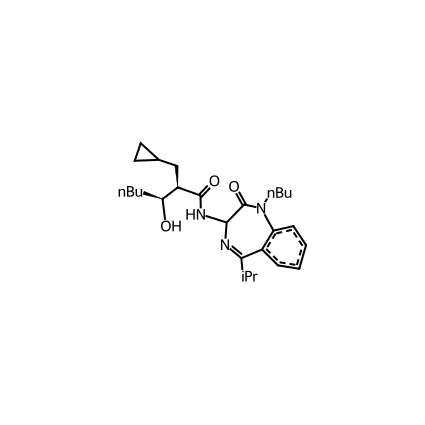 CCCC[C@H](O)[C@@H](CC1CC1)C(=O)NC1N=C(C(C)C)c2ccccc2N(CCCC)C1=O